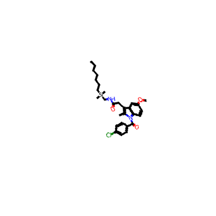 CCCCCCC[Si](C)(C)CNC(=O)Cc1c(C)n(C(=O)c2ccc(Cl)cc2)c2ccc(OC)cc12